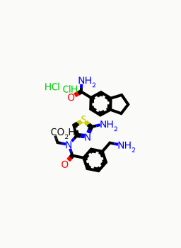 Cl.Cl.NC(=O)c1ccc2c(c1)CCC2.NCc1cccc(C(=O)N(CC(=O)O)c2csc(N)n2)c1